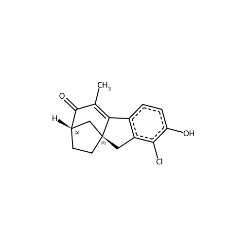 CC1=C2c3ccc(O)c(Cl)c3C[C@]23CC[C@@H](C3)C1=O